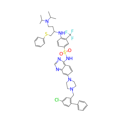 CC(C)N(CCC(CSc1ccccc1)Nc1ccc(S(=O)(=O)Nc2ncnc3cc(N4CCN(Cc5cc(Cl)ccc5-c5ccccc5)CC4)ccc23)cc1C(F)(F)F)C(C)C